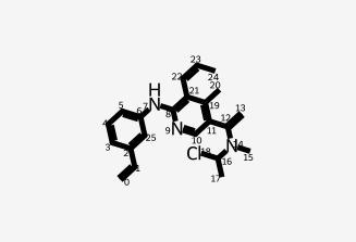 C=Cc1cccc(Nc2ncc(C(=C)N(C)C(C)Cl)c(C)c2/C=C\C)c1